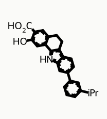 CC(C)c1cccc(-c2ccc3c4c([nH]c3c2)-c2cc(O)c(C(=O)O)cc2CC4)c1